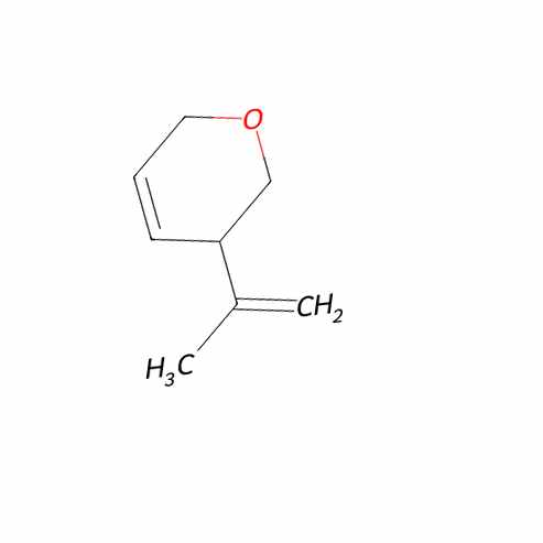 C=C(C)C1C=CCOC1